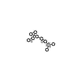 c1ccc(-c2nc(-c3ccccc3)nc(-c3ccc4c(c3)oc3cc(-c5ccc(C6(c7ccc8sc9ccccc9c8c7)c7ccccc7-c7ccccc76)cc5)ccc34)n2)cc1